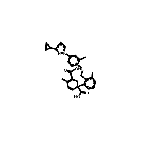 CC1=C(C(=O)O)CC(C(=O)O)(c2cccc(C)c2COc2ccc(-n3ccc(C4CC4)n3)cc2C)C=C1